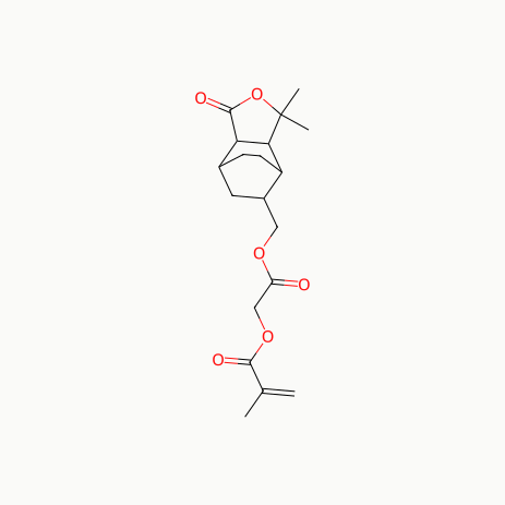 C=C(C)C(=O)OCC(=O)OCC1CC2CCC1C1C2C(=O)OC1(C)C